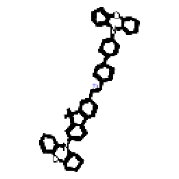 CC1(C)c2cc(/C=C/c3ccc(-c4ccc(N5c6ccccc6Oc6ccccc65)cc4)cc3)ccc2-c2ccc(N3C4=C(CCC=C4)OC4=C3CCC=C4)cc21